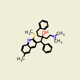 CSc1nc2ccc(C)cc2cc1C(c1ccccc1)C(O)(CCc1ccccc1)CCN(C)C